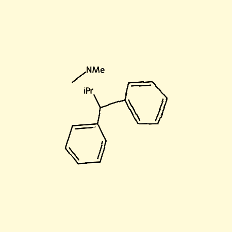 CC(C)C(c1ccccc1)c1ccccc1.CNC